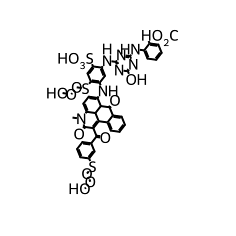 CN1C(=O)C(C(=O)c2cccc(SOOO)c2)=C2c3ccccc3C(=O)C3C(Nc4cc(Nc5nc(O)nc(Nc6ccccc6C(=O)O)n5)c(S(=O)(=O)O)cc4SOOO)=CC=C1C23